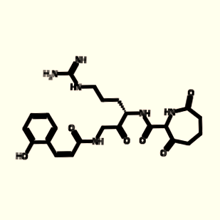 N=C(N)NCCC[C@H](NC(=O)C1NC(=O)CCCC1=O)C(=O)CNC(=O)/C=C\c1ccccc1O